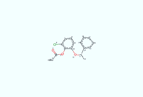 CCCCC(=O)Oc1c(Cl)cccc1OC(C)c1ccccc1